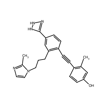 Cc1cc(O)ccc1C#Cc1ccc(-c2n[nH][nH]2)cc1CCCn1ccnc1C